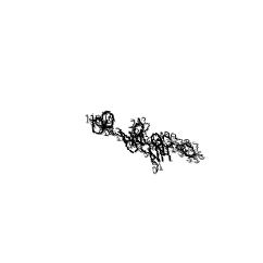 CCCNc1ccc(N(C(=O)NCCCC(=O)OCC)c2ccccc2)cc1-c1nc2cc(-c3ccccc3)ccc2o1